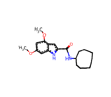 COc1cc(OC)c2cc(C(=O)NC3CCCCCCC3)[nH]c2c1